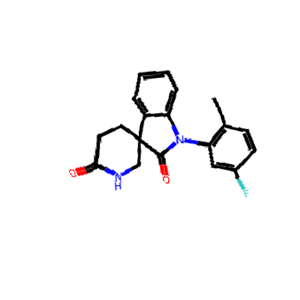 Cc1ccc(F)cc1N1C(=O)C2(CCC(=O)NC2)c2ccccc21